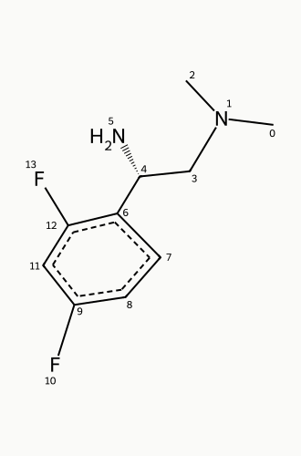 CN(C)C[C@@H](N)c1ccc(F)cc1F